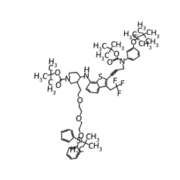 CC(C)(C)OC(=O)N1CCC(Nc2cccc3c(CC(F)(F)F)c(C#CCN(C(=O)OC(C)(C)C)c4cccc(O[Si](C)(C)C(C)(C)C)c4)sc23)C(CCOCCOCCO[Si](c2ccccc2)(c2ccccc2)C(C)(C)C)C1